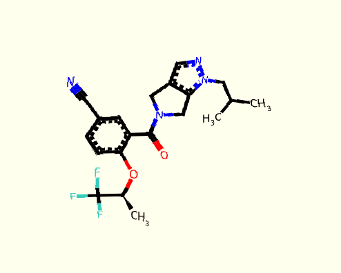 CC(C)Cn1ncc2c1CN(C(=O)c1cc(C#N)ccc1O[C@@H](C)C(F)(F)F)C2